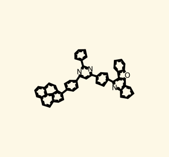 c1ccc(-c2nc(-c3ccc(-c4ccc5ccc6cccc7ccc4c5c67)cc3)cc(-c3ccc(-c4nc5ccccc5c5oc6ccccc6c45)cc3)n2)cc1